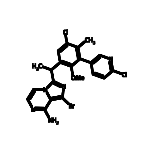 COc1c(C(C)c2nc(Br)c3c(N)nccn23)cc(Cl)c(C)c1-c1ccc(Cl)nc1